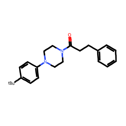 CC(C)(C)c1ccc(N2CCN(C(=O)CCc3ccccc3)CC2)cc1